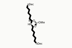 CCCCCCCCCCCCCCCCNCCCCCCCCCCCCCCCC.CO[N+](=O)OC